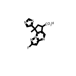 CC1(c2cncs2)CC(C(=O)O)c2cnc3cc(F)nn3c21